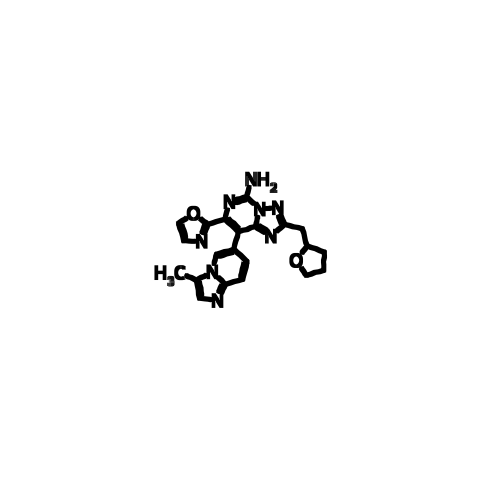 Cc1cnc2ccc(-c3c(-c4ncco4)nc(N)n4nc(CC5CCCO5)nc34)cn12